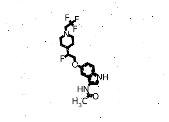 CC(=O)Nc1c[nH]c2ccc(OCC(F)C3CCN(CC(F)(F)F)CC3)cc12